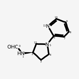 O=CN[C@@H]1CCN(c2ccccn2)C1